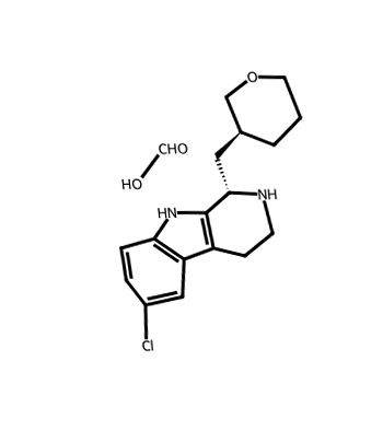 Clc1ccc2[nH]c3c(c2c1)CCN[C@H]3C[C@@H]1CCCOC1.O=CO